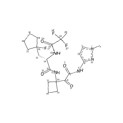 Cn1ccc(NC(=O)C(=O)C2(NC(=O)[C@H](CC3(F)CCCC3)NC(=O)C(C)(F)F)CCC2)n1